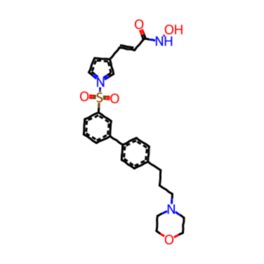 O=C(C=Cc1ccn(S(=O)(=O)c2cccc(-c3ccc(CCCN4CCOCC4)cc3)c2)c1)NO